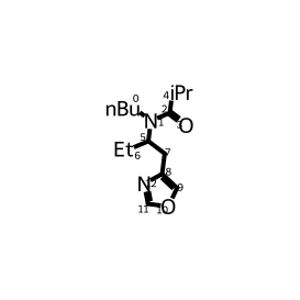 CCCCN(C(=O)C(C)C)C(CC)Cc1cocn1